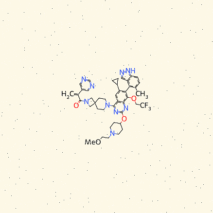 C=C(C(=O)N1CC2(CCN(c3nc(OC4CCN(CCOC)CC4)nc4c(OCC(F)(F)F)c(-c5c(C)ccc6[nH]ncc56)c(C5CC5)cc34)CC2)C1)c1cncnc1